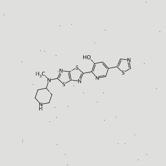 CN(c1nc2sc(-c3ncc(-c4cncs4)cc3O)nc2s1)C1CCNCC1